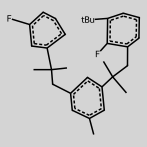 Cc1cc(CC(C)(C)c2cccc(F)c2)cc(C(C)(C)Cc2cccc(C(C)(C)C)c2F)c1